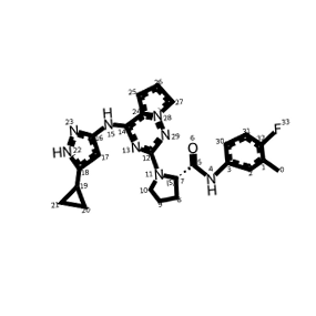 Cc1cc(NC(=O)[C@@H]2CCCN2c2nc(Nc3cc(C4CC4)[nH]n3)c3cccn3n2)ccc1F